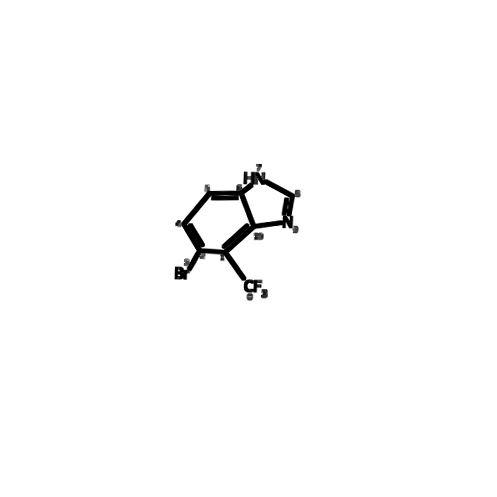 FC(F)(F)c1c(Br)ccc2[nH]cnc12